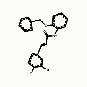 O=C(/C=C/c1ccc(F)c(O)c1)Nc1ccccc1OCc1ccccc1